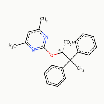 Cc1cc(C)nc(O[C@H](C(=O)O)C(C)(c2ccccc2)c2ccccc2)n1